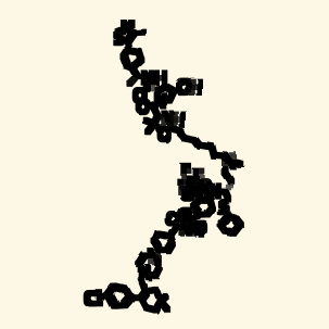 Cc1ncsc1-c1ccc([C@H](C)NC(=O)[C@@H]2C[C@@H](O)CN2C(=O)[C@@H](NC(=O)CCCCCCCN(C)CC[C@H](CSc2ccccc2)Nc2ccc(S(=O)(=O)NC(=O)c3ccc(N4CCN(CC5=C(c6ccc(Cl)cc6)CCC(C)(C)C5)CC4)cc3)cc2S(=O)(=O)C(F)(F)F)C(C)(C)C)cc1